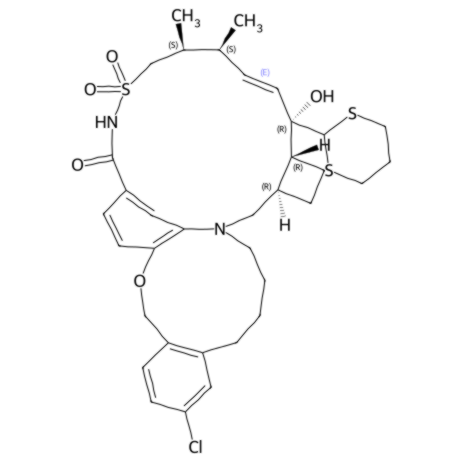 C[C@@H]1CS(=O)(=O)NC(=O)c2ccc3c(c2)N(CCCCc2cc(Cl)ccc2CO3)C[C@@H]2CC[C@H]2[C@](O)(C2SCCCS2)/C=C/[C@@H]1C